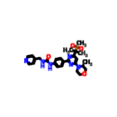 C[C@H]1COCCN1c1cc(C(C)(C)S(C)(=O)=O)nc(-c2ccc(NC(=O)NCc3ccncc3)cc2)n1